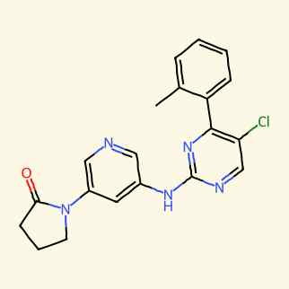 Cc1ccccc1-c1nc(Nc2cncc(N3CCCC3=O)c2)ncc1Cl